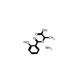 CC(OC(=O)c1ccccc1O)C(=O)O.N